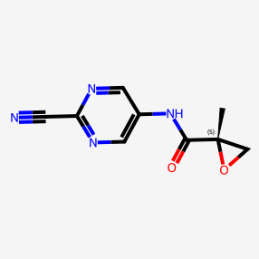 C[C@@]1(C(=O)Nc2cnc(C#N)nc2)CO1